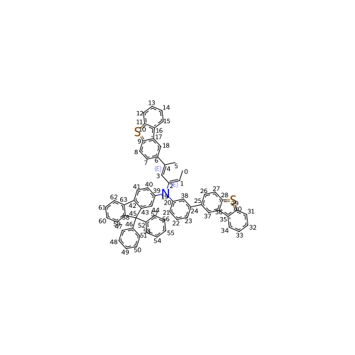 C/C=C(\C=C(/C)c1ccc2sc3ccccc3c2c1)N(c1cccc(-c2ccc3sc4ccccc4c3c2)c1)c1ccc2c(c1)C(c1ccccc1)(c1ccccc1)c1ccccc1-2